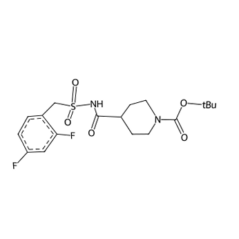 CC(C)(C)OC(=O)N1CCC(C(=O)NS(=O)(=O)Cc2ccc(F)cc2F)CC1